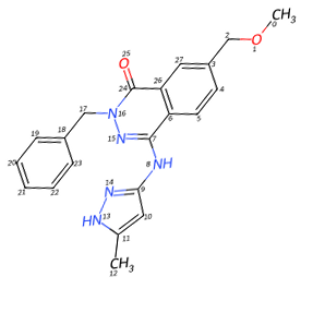 COCc1ccc2c(Nc3cc(C)[nH]n3)nn(Cc3ccccc3)c(=O)c2c1